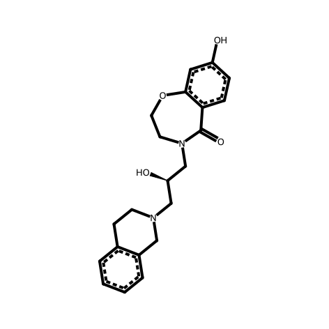 O=C1c2ccc(O)cc2OCCN1C[C@H](O)CN1CCc2ccccc2C1